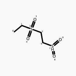 CCS(=O)(=O)CC[SH](=O)=O